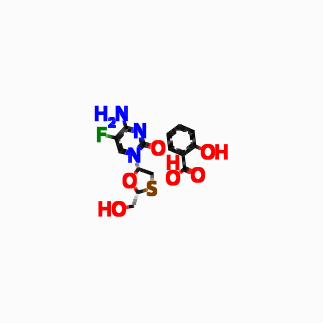 Nc1nc(=O)n([C@@H]2CS[C@H](CO)O2)cc1F.O=C(O)c1ccccc1O